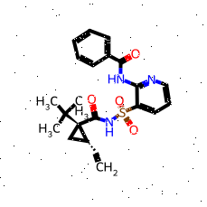 C=C[C@@H]1C[C@@]1(C(=O)NS(=O)(=O)c1cccnc1NC(=O)c1ccccc1)C(C)(C)C